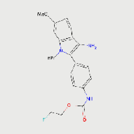 CCCn1c(-c2ccc(NC(=O)OCCF)cc2)c(N)c2ccc(OC)cc21